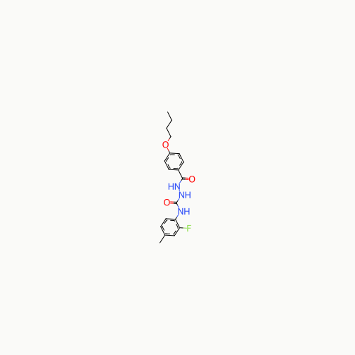 CCCCOc1ccc(C(=O)NNC(=O)Nc2ccc(C)cc2F)cc1